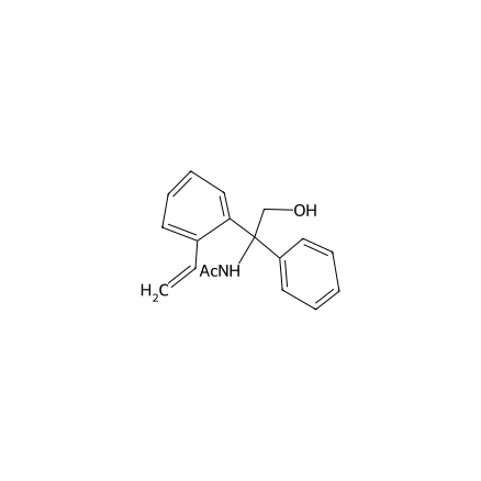 C=Cc1ccccc1C(CO)(NC(C)=O)c1ccccc1